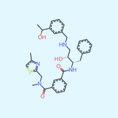 Cc1csc(CN(C)C(=O)c2cccc(C(=O)N[C@@H](Cc3ccccc3)[C@H](O)CNCc3cccc(C(C)O)c3)c2)n1